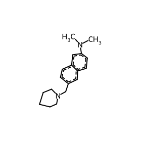 CN(C)c1ccc2cc(CN3CCCCC3)ccc2c1